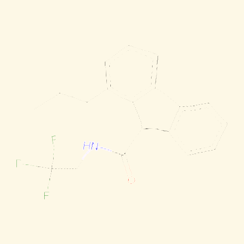 CCCc1cccc2c1C(C(=O)NCC(F)(F)F)c1ccccc1-2